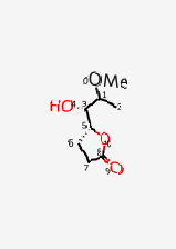 COC(C)[C@@H](O)[C@H]1CCC(=O)O1